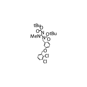 CN/C(=N\C(=O)OC(C)(C)C)N(Cc1cccc(OCc2cccc(Cl)c2Cl)c1)C(=O)OC(C)(C)C